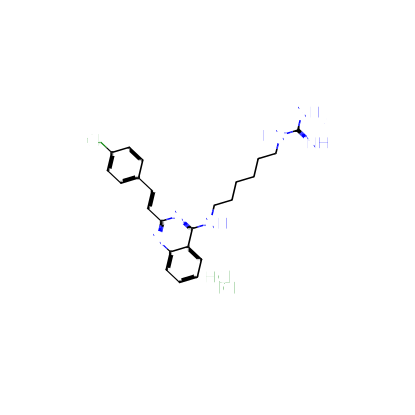 Cl.Cl.N=C(N)NCCCCCCNc1nc(/C=C/c2ccc(Cl)cc2)nc2ccccc12